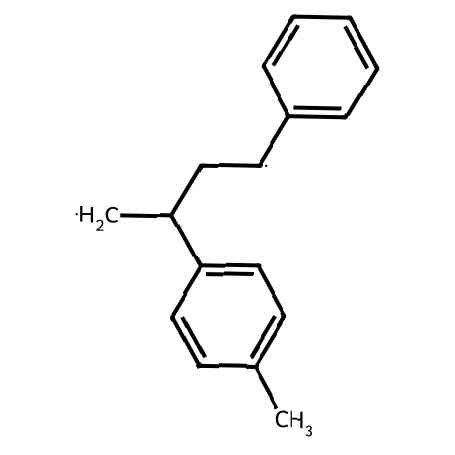 [CH2]C(C[CH]c1ccccc1)c1ccc(C)cc1